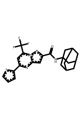 O=C(NC12CC3CC(CC(C3)C1)C2)c1cc2nc(-c3cccs3)cc(C(F)(F)F)n2n1